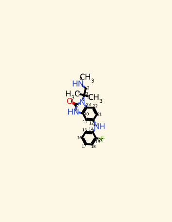 CNCC(C)(C)n1c(=O)[nH]c2cc(Nc3ccccc3F)ccc21